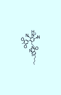 CCCCCc1cc2c(=O)n(CCc3cc(C#N)c(N)c(C#N)c3-c3cc(OC)c(C)c(OC)c3)cnc2s1